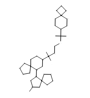 CC(C)(C)C1CC(C2CC(C(C)(C)CCNC(C)(C)C3CCC4(CCC4)CC3)CCC23CCCC3)C2(CCCC2)C1